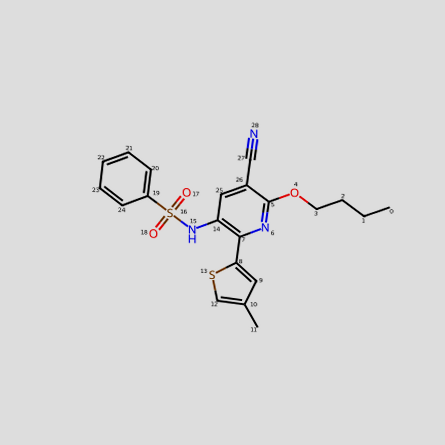 CCCCOc1nc(-c2cc(C)cs2)c(NS(=O)(=O)c2ccccc2)cc1C#N